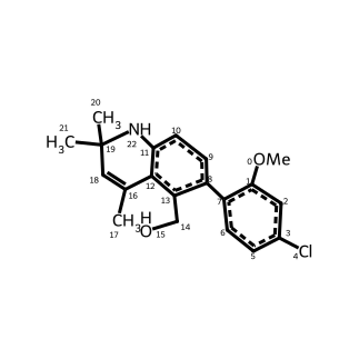 COc1cc(Cl)ccc1-c1ccc2c(c1CO)C(C)=CC(C)(C)N2